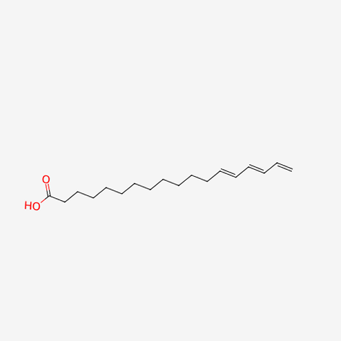 C=C/C=C/C=C/CCCCCCCCCCCC(=O)O